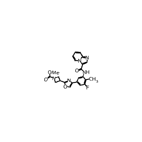 COC(=O)N1CC(c2nc(-c3cc(F)c(C)c(NC(=O)c4cnc5ccccn45)c3)co2)C1